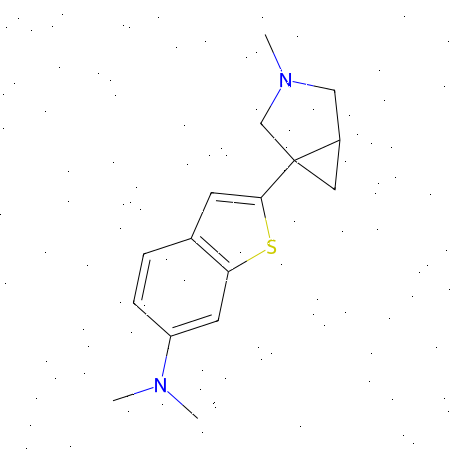 CN1CC2CC2(c2cc3ccc(N(C)C)cc3s2)C1